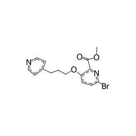 COC(=O)c1nc(Br)ccc1OCCCc1ccncc1